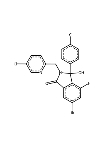 O=C1c2cc(Br)cc(F)c2C(O)(c2ccc(Cl)cc2)N1Cc1ccc(Cl)cn1